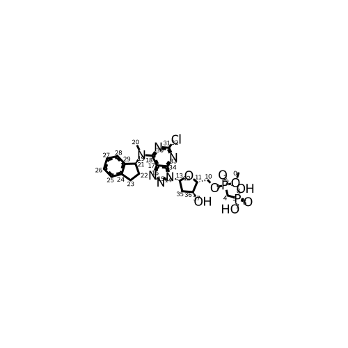 COP(=O)(CP(=O)(O)O)OC[C@H]1O[C@@H](n2nnc3c(N(C)[C@H]4CCc5ccccc54)nc(Cl)nc32)C[C@@H]1O